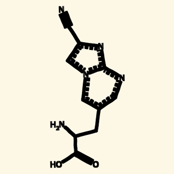 N#Cc1cn2cc(CC(N)C(=O)O)cnc2n1